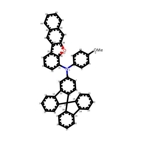 COc1ccc(N(c2ccc3c(c2)-c2ccccc2C32c3ccccc3-c3ccccc32)c2cccc3c2oc2cc4ccccc4cc23)cc1